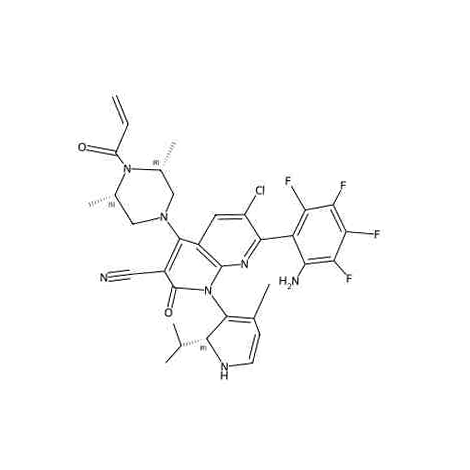 C=CC(=O)N1[C@H](C)CN(c2c(C#N)c(=O)n(C3=C(C)C=CN[C@@H]3C(C)C)c3nc(-c4c(N)c(F)c(F)c(F)c4F)c(Cl)cc23)C[C@@H]1C